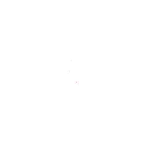 C=CCc1ccc2ccc(P(=O)(O)c3ccc4ccc(CC=C)cc4c3)cc2c1